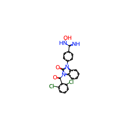 N=C(NO)c1ccc(-n2c(=O)n(C(=O)c3c(Cl)cccc3Cl)c3ccccc32)cc1